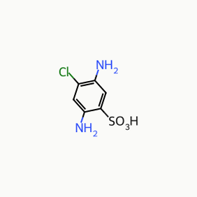 Nc1cc(S(=O)(=O)O)c(N)cc1Cl